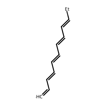 [CH]=CC=CC=CC=CC=CCC